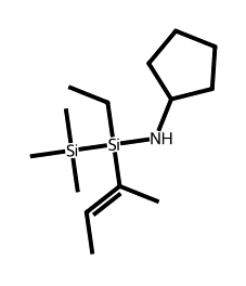 C/C=C(\C)[Si](CC)(NC1CCCC1)[Si](C)(C)C